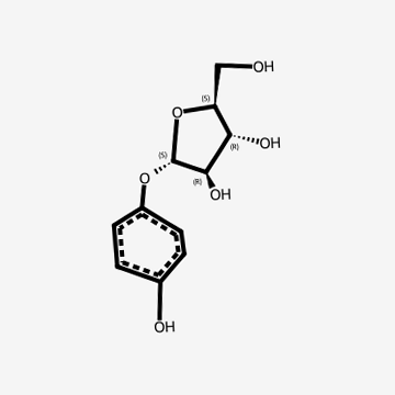 OC[C@@H]1O[C@@H](Oc2ccc(O)cc2)[C@H](O)[C@H]1O